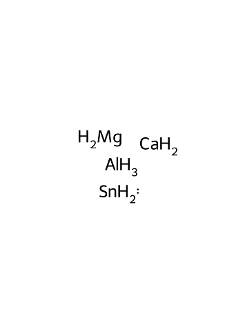 [AlH3].[CaH2].[MgH2].[SnH2]